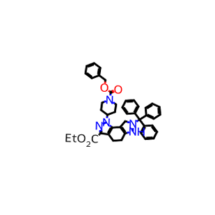 CCOC(=O)c1nn(C2CCN(C(=O)OCc3ccccc3)CC2)c2c1CCC1=C2CN(C(c2ccccc2)(c2ccccc2)c2ccccc2)N1